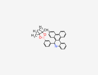 CC1(C)OB(c2cccc(-c3nc4ccccc4c4c5ccccc5c5ccccc5c34)c2)OC1(C)C